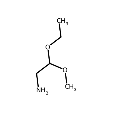 CCOC(CN)OC